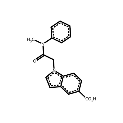 CN(C(=O)Cn1ccc2cc(C(=O)O)ccc21)c1ccccc1